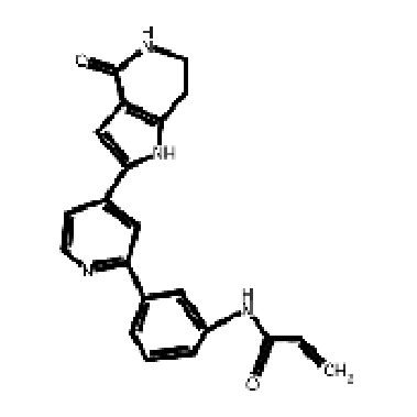 C=CC(=O)Nc1cccc(-c2cc(-c3cc4c([nH]3)CCNC4=O)ccn2)c1